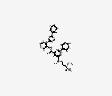 CCN(CCN(C)C)c1cc(C(=O)Nc2ccccc2-c2nnc(-c3ccccn3)s2)nc(-c2ccccc2)n1